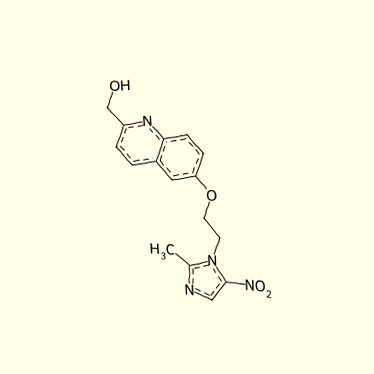 Cc1ncc([N+](=O)[O-])n1CCOc1ccc2nc(CO)ccc2c1